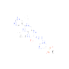 CC[C@@H](C)n1c(=O)c(NCc2ncc(S(=O)(=O)CC)cn2)nc2cnc(-c3c(C4CC4)ncnc3C3CC3)nc21